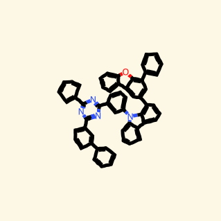 c1ccc(-c2cccc(-c3nc(-c4ccccc4)nc(-c4cccc(-n5c6ccccc6c6cccc(-c7cc(-c8ccccc8)c8oc9ccccc9c8c7)c65)c4)n3)c2)cc1